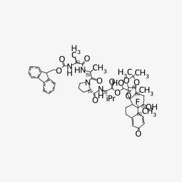 CC(C)[C@H](NC(=O)[C@@H]1CCCN1C(=O)[C@H](C)NC(=O)[C@H](C)NC(=O)OCC1c2ccccc2-c2ccccc21)C(=O)OC(O)C(=O)[C@@]12OC(C)(C)OC1CC1C3CCC4=CC(=O)C=C[C@]4(C)C3(F)[C@@H](O)C[C@@]12C